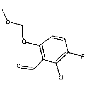 COCOc1ccc(F)c(Cl)c1C=O